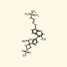 CCS(=O)(=O)N1CC(C(C)C#N)(n2cc(-c3c(C#N)cnc4c3ccn4COCC[Si](C)(C)C)cn2)C1